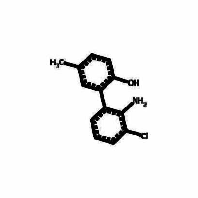 Cc1ccc(O)c(-c2cccc(Cl)c2N)c1